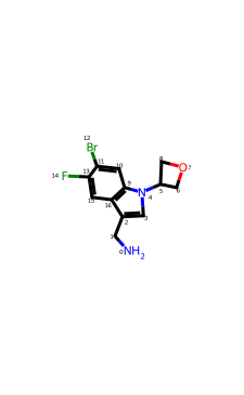 NCc1cn(C2COC2)c2cc(Br)c(F)cc12